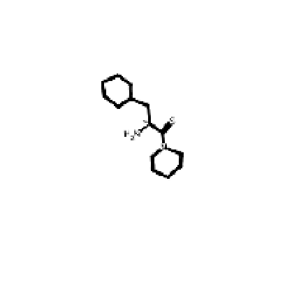 N[C@@H](CC1CCCCC1)C(=S)N1CCCCC1